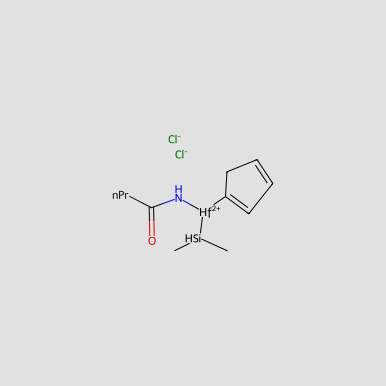 CCCC(=O)[NH][Hf+2]([C]1=CC=CC1)[SiH](C)C.[Cl-].[Cl-]